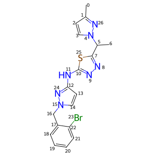 Cc1ccn(C(C)c2nnc(Nc3ccn(Cc4ccccc4Br)n3)s2)n1